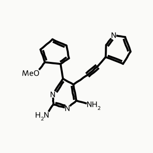 COc1ccccc1-c1nc(N)nc(N)c1C#Cc1cccnc1